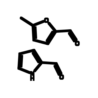 Cc1ccc(C=O)o1.O=Cc1ccc[nH]1